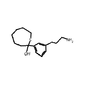 NCCCc1cccc(C2(O)CCCCCCC2)c1